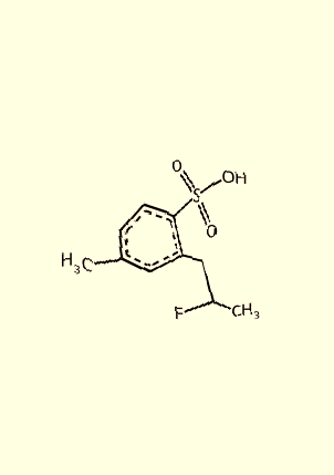 Cc1ccc(S(=O)(=O)O)c(CC(C)F)c1